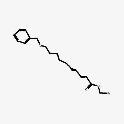 CC(C)CNC(=O)C=CC=CCCCCCOCc1ccccc1